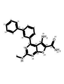 CNc1nc(-c2cccc(-c3ccccc3)c2)c2c(N)c(C(N)=O)sc2n1